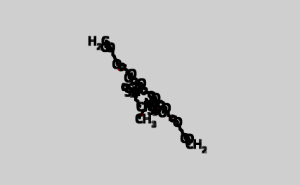 C=CC(=O)OCCCCCCOc1ccc(CCC(=O)OC2CCC(C(=O)Oc3ccc(-c4ccc(OC(=O)C5CCC(OC(=O)CCc6ccc(OCCCCCCOC(=O)C=C)cc6)CC5)c(/C=N/N(CCCCCC)C5Sc6ccccc6S5)c4)cc3/C=N/N(CCCCCC)c3nc4ccccc4s3)CC2)cc1